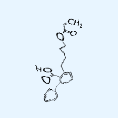 C=CC(=O)OCCCCc1cccc(-c2ccccc2)c1C(=O)O